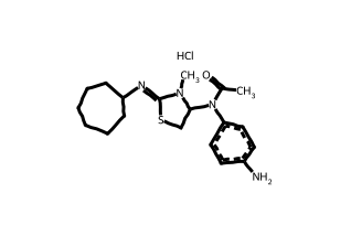 CC(=O)N(c1ccc(N)cc1)C1CSC(=NC2CCCCCC2)N1C.Cl